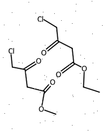 CCOC(=O)CC(=O)CCl.COC(=O)CC(=O)CCl